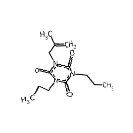 C=C(C)Cn1c(=O)n(CCC)c(=O)n(CCC)c1=O